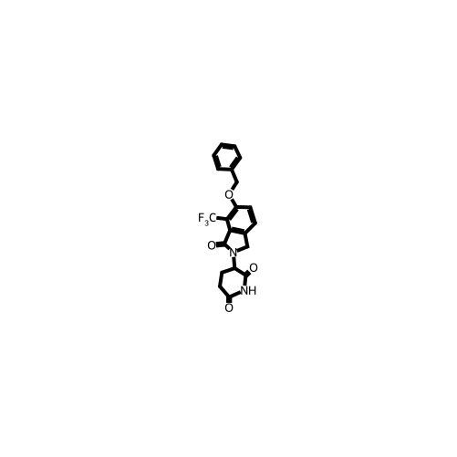 O=C1CCC(N2Cc3ccc(OCc4ccccc4)c(C(F)(F)F)c3C2=O)C(=O)N1